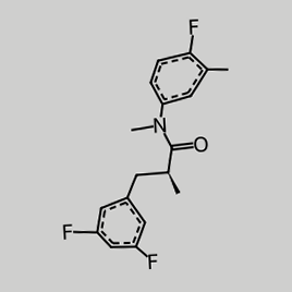 Cc1cc(N(C)C(=O)[C@@H](C)Cc2cc(F)cc(F)c2)ccc1F